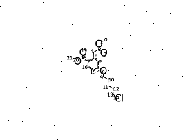 COC(=O)Cc1cc(OCCCCCCl)ccc1C(=O)OC